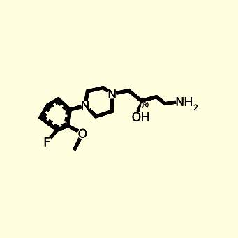 COc1c(F)cccc1N1CCN(C[C@H](O)CCN)CC1